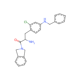 NC(Cc1ccc(NCc2ccccc2)cc1Cl)C(=O)N1Cc2ccccc2C1